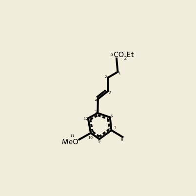 CCOC(=O)CCC=Cc1cc(C)cc(OC)c1